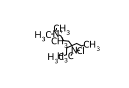 CCCC(CCC)(CCC[N+](C)(C)C)N(C)Cl